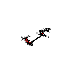 C=CC[C@@](CC1CS[C@H]2CC(C)(C)[C@@H](C(=O)N[C@H](COCCCCCCCCCCCCOC[C@@H](NC(=O)[C@H]3N4C(=O)[C@@H](NC(=O)C(C)(C)N(C)C(=O)OC(C)(C)C)CCS[C@H]4CC3(C)C)C(=C)/C=C\C=C/C)c3ccccc3)N2C(=O)C1)(C(N)=O)N(C)C(=O)OC(C)(C)C